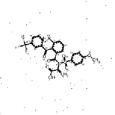 C=C(C(=O)O)N(C(=O)c1cccc(N)c1C(=O)c1cccc(C(F)(F)F)c1)S(=O)(=O)c1ccc(OC)cc1